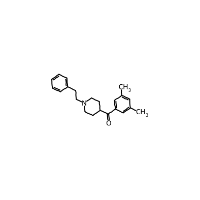 Cc1cc(C)cc(C(=O)C2CCN(CCc3ccccc3)CC2)c1